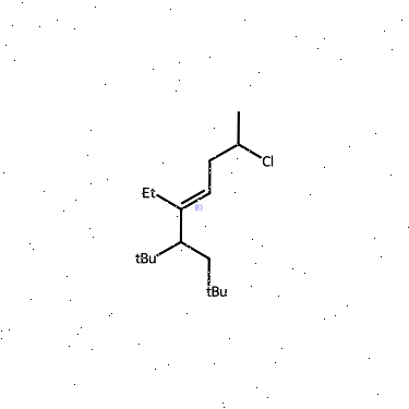 CC/C(=C\CC(C)Cl)C(CC(C)(C)C)C(C)(C)C